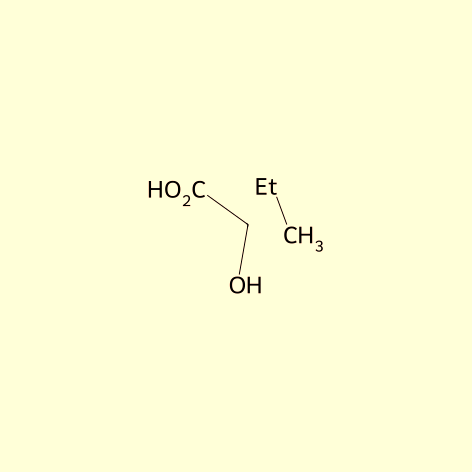 CCC.O=C(O)CO